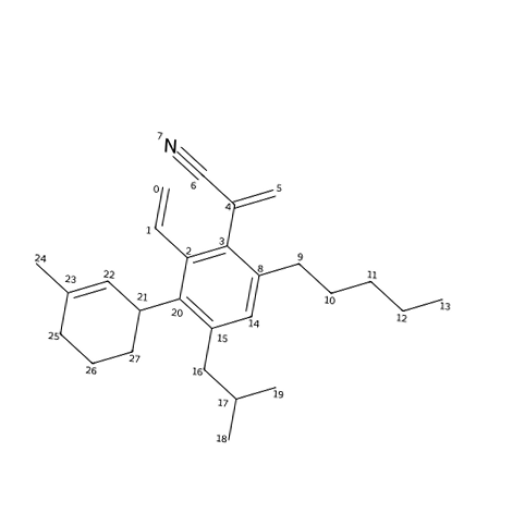 C=Cc1c(C(=C)C#N)c(CCCCC)cc(CC(C)C)c1C1C=C(C)CCC1